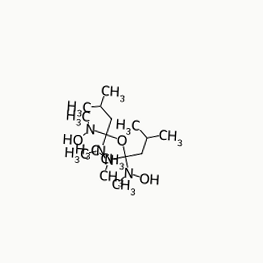 CC(C)CC(OC(CC(C)C)(N(C)C)N(C)O)(N(C)C)N(C)O